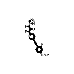 CNc1ccc(C#Cc2ccc(C(F)C(O)C(F)n3cnnn3)nc2)c(F)c1